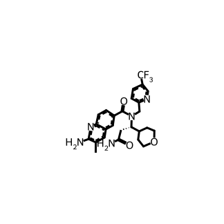 Cc1cc2cc(C(=O)N(Cc3ccc(C(F)(F)F)cn3)[C@@H](CC(N)=O)C3CCOCC3)ccc2nc1N